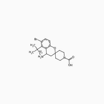 CC(C)(C)c1c(Br)ccc2c1C(N)CC1(CCN(C(=O)O)CC1)O2